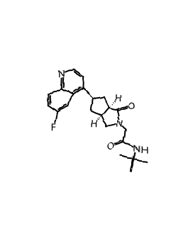 CC(C)(C)NC(=O)CN1C[C@H]2C[C@@H](c3ccnc4ccc(F)cc34)C[C@H]2C1=O